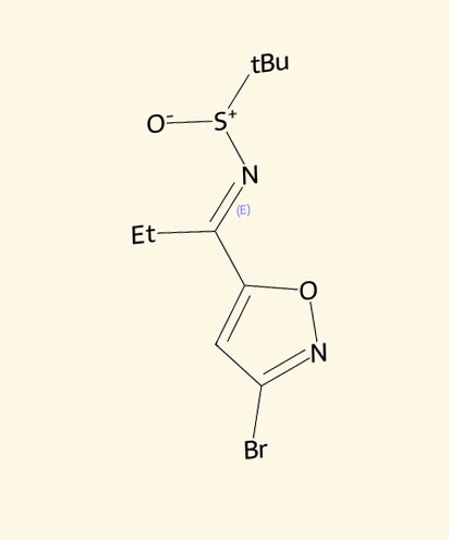 CC/C(=N\[S+]([O-])C(C)(C)C)c1cc(Br)no1